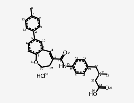 Cc1ccc(-c2ccc3c(c2)C=C(C(=O)Nc2ccc(CN(C)CC(=O)O)cc2)CCO3)cc1.Cl